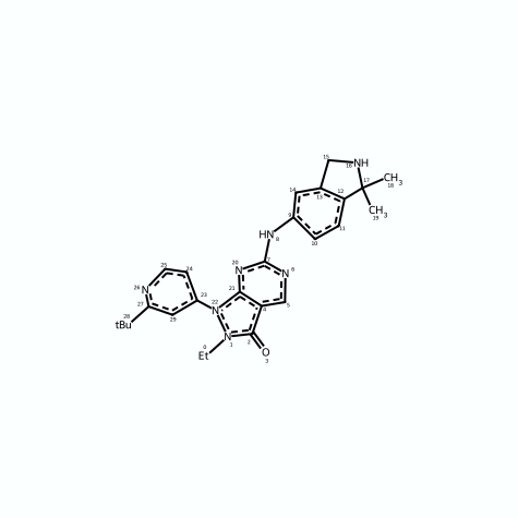 CCn1c(=O)c2cnc(Nc3ccc4c(c3)CNC4(C)C)nc2n1-c1ccnc(C(C)(C)C)c1